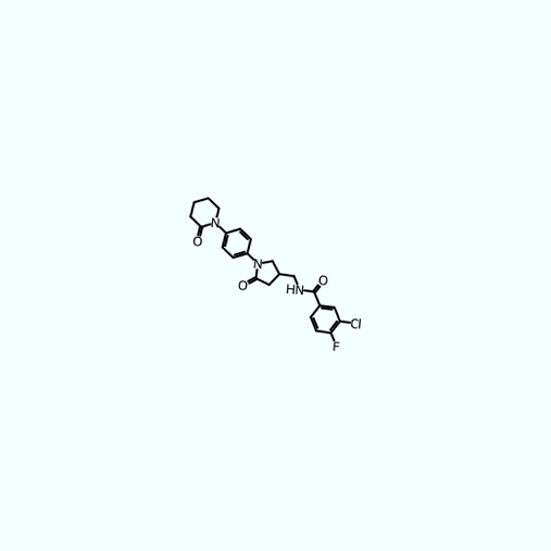 O=C(NCC1CC(=O)N(c2ccc(N3CCCCC3=O)cc2)C1)c1ccc(F)c(Cl)c1